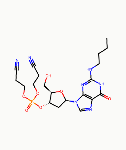 CCCCNc1nc2c(ncn2[C@H]2C[C@H](OP(=O)(OCCC#N)OCCC#N)[C@@H](CO)O2)c(=O)[nH]1